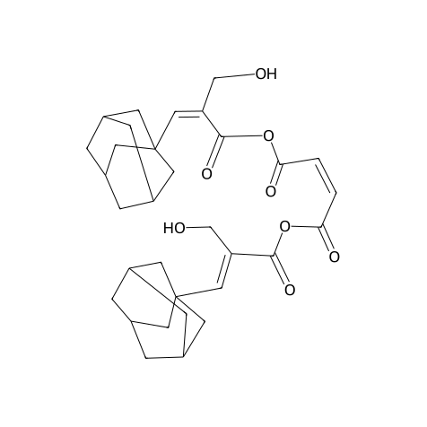 O=C(/C=C\C(=O)OC(=O)C(=CC12CC3CC(CC(C3)C1)C2)CO)OC(=O)C(=CC12CC3CC(CC(C3)C1)C2)CO